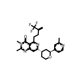 C=C(CCc1nc([C@H]2CCO[C@H](c3ccnc(C)c3)C2)cc2nc(C)n(C)c(=O)c12)C(F)(F)F